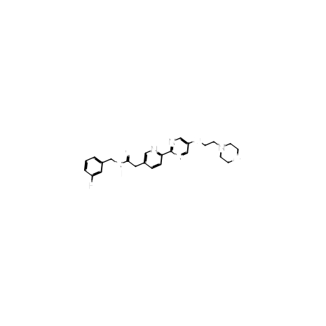 O=C(Cc1ccc(-c2ncc(OCCN3CCOCC3)cn2)nc1)NCc1cccc(F)c1